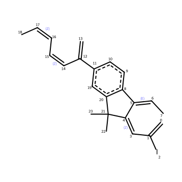 C=C(I)/C=C1\C(=C/C)c2ccc(C(=C)/C=C\C=C/C)cc2C1(C)C